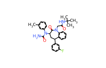 Cc1cccc(N(C(N)=O)C2CC(c3cccc(F)c3)c3ccccc3N(CC(=O)NC(C)(C)C)C2=O)c1